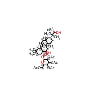 CCCC[C@H](O)C(C)(C)[C@@H]1CC[C@]2(C)[C@H](CC=C3[C@@H]4CC(C)(C)CC[C@]4(C(=O)O[C@H]4OC(COC(C)=O)[C@H](OC(C)=O)C(OC(C)=O)C4OC(C)=O)C(O)C[C@]32C)C1